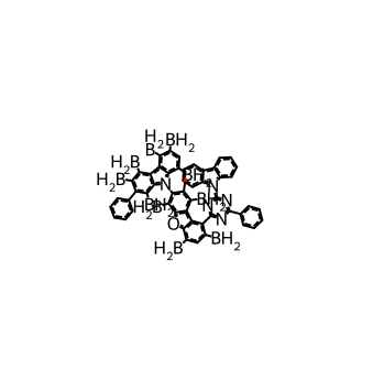 Bc1cc(B)c2oc3c(B)c(-n4c5c(B)cc(B)c(B)c5c5c(B)c(B)c(-c6ccccc6)c(B)c54)c(C)c(B)c3c2c1-c1nc(-c2ccccc2)nc(-n2c3ccccc3c3ccccc32)n1